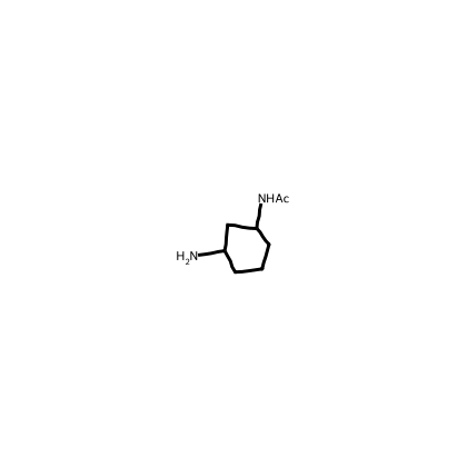 CC(=O)NC1CCCC(N)C1